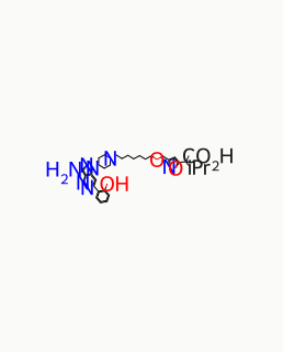 CC(C)C(C(=O)O)c1cc(COCCCCCCCN2CCC(n3nc(N)c4nnc(-c5ccccc5O)cc43)CC2)no1